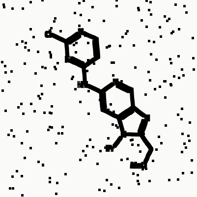 COCc1nc2cnc(Nc3ccnc(Cl)n3)cc2n1C(C)C